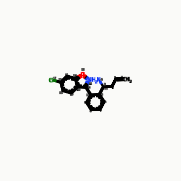 C=CC[C@H](N)c1ccccc1-c1noc2cc(Cl)ccc12